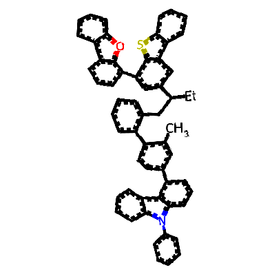 CCC(Cc1ccccc1-c1ccc(-c2cccc3c2c2ccccc2n3-c2ccccc2)cc1C)c1cc(-c2cccc3c2oc2ccccc23)c2sc3ccccc3c2c1